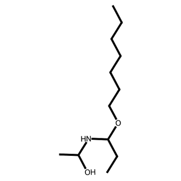 CCCCCCCOC(CC)NC(C)O